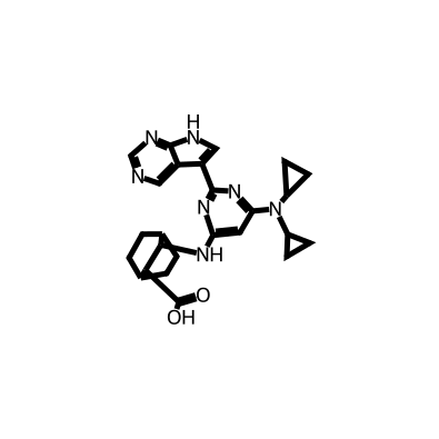 O=C(O)C1C2CCC(CC2)C1Nc1cc(N(C2CC2)C2CC2)nc(-c2c[nH]c3ncncc23)n1